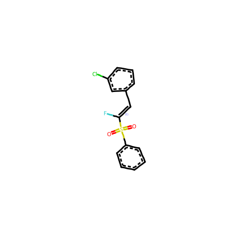 O=S(=O)(/C(F)=C/c1cccc(Cl)c1)c1ccccc1